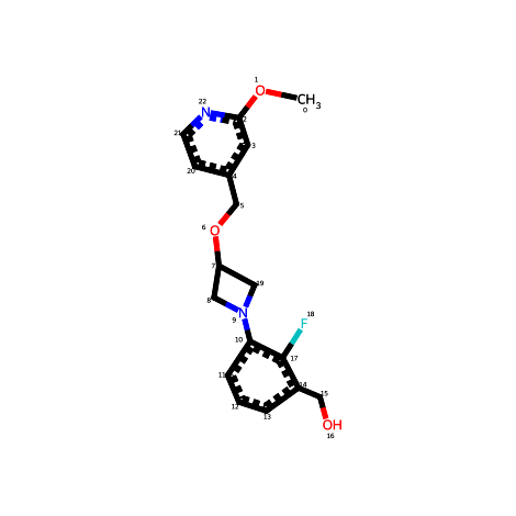 COc1cc(COC2CN(c3cccc(CO)c3F)C2)ccn1